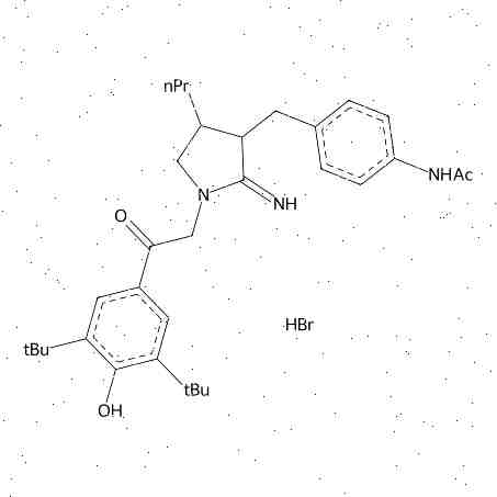 Br.CCCC1CN(CC(=O)c2cc(C(C)(C)C)c(O)c(C(C)(C)C)c2)C(=N)C1Cc1ccc(NC(C)=O)cc1